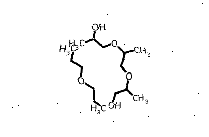 CC(O)COC(C)COC(C)CO.CCCOCCC